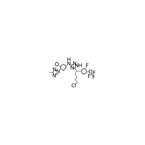 COc1cc(Nc2n[nH]c(C(CCCCCl)c3ccc(OC(F)(F)F)c(F)c3)n2)ccc1-n1cnc(C)n1